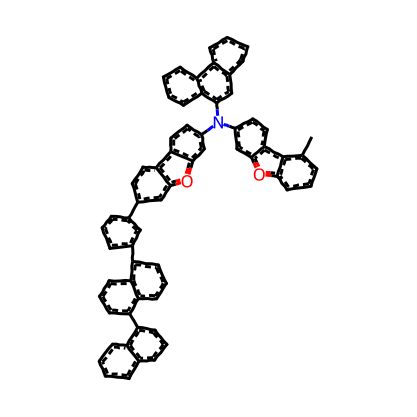 Cc1cccc2oc3cc(N(c4ccc5c(c4)oc4cc(-c6cccc(-c7cccc8c(-c9cccc%10ccccc9%10)cccc78)c6)ccc45)c4cc5ccccc5c5ccccc45)ccc3c12